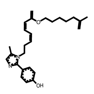 C=C(C)CCCCCOC(=C)/C=C\C=C/CCn1c(C)cnc1-c1ccc(O)cc1